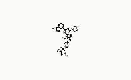 CCn1c(CN2CCN(C(C)(C)C(N)=O)CC2)nc2c(N3CCOCC3)nc(-c3cccc4[nH]ccc34)nc21